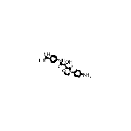 N=C(N)c1ccc(NC(=O)[C@H](O)[C@H]2OCCN(c3ccc(N)cc3)C2=O)cc1